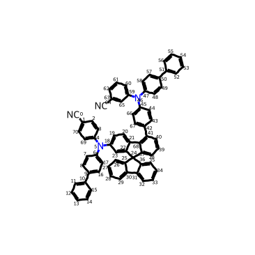 N#Cc1ccc(N(c2ccc(-c3ccccc3)cc2)c2ccc3c(c2)C2(c4ccccc4-c4ccccc42)c2cccc(-c4ccc(N(c5ccc(-c6ccccc6)cc5)c5cccc(C#N)c5)cc4)c2-3)cc1